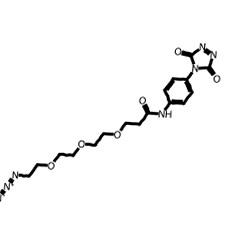 [N-]=[N+]=NCCOCCOCCOCCC(=O)Nc1ccc(N2C(=O)N=NC2=O)cc1